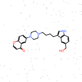 O=c1ccoc2ccc(N3CCN(CCCCc4c[nH]c5ccc(CO)cc45)CC3)cc12